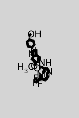 COc1cc2nn([C@H]3CC[C@H](CO)CC3)cc2cc1NC(=O)c1cnn2ccc(C(F)(F)F)nc12